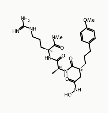 CNC(=O)[C@H](CCCNC(=N)N)NC(=O)[C@H](C)NC(=O)[C@H](CCCc1ccc(OC)cc1)CC(=O)NO